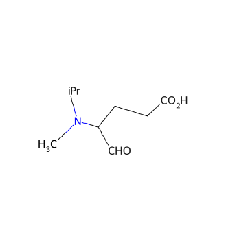 CC(C)N(C)C(C=O)CCC(=O)O